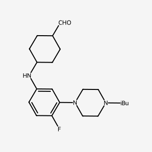 CCC(C)N1CCN(c2cc(NC3CCC(C=O)CC3)ccc2F)CC1